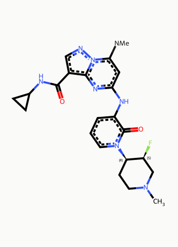 CNc1cc(Nc2cccn([C@@H]3CCN(C)C[C@@H]3F)c2=O)nc2c(C(=O)NC3CC3)cnn12